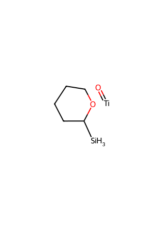 [O]=[Ti].[SiH3]C1CCCCO1